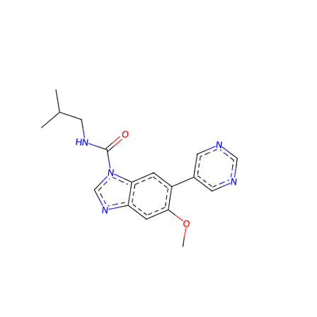 COc1cc2ncn(C(=O)NCC(C)C)c2cc1-c1cncnc1